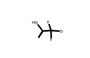 CC(O)C([O])(F)F